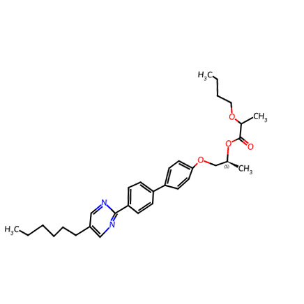 CCCCCCc1cnc(-c2ccc(-c3ccc(OC[C@H](C)OC(=O)C(C)OCCCC)cc3)cc2)nc1